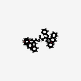 O=[PH](OCC(Cc1ccccc1)(Cc1ccccc1)c1cccc2ccccc12)OCC(Cc1ccccc1)(Cc1ccccc1)c1cccc2ccccc12